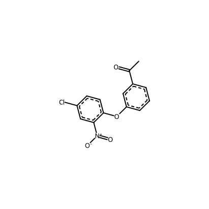 CC(=O)c1cccc(Oc2ccc(Cl)cc2[N+](=O)[O-])c1